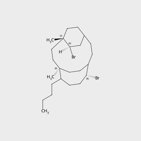 CCCCC1CC[C@@H](Br)C2CCC3CC[C@@](C)(CC[C@@]1(C)CC2)[C@H](Br)C3